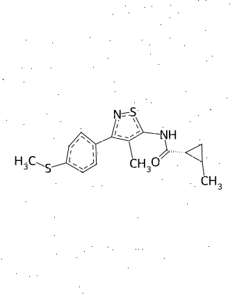 CSc1ccc(-c2nsc(NC(=O)[C@@H]3CC3C)c2C)cc1